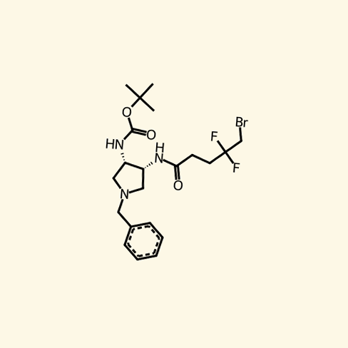 CC(C)(C)OC(=O)N[C@H]1CN(Cc2ccccc2)C[C@H]1NC(=O)CCC(F)(F)CBr